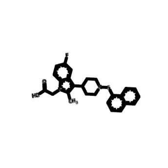 Cc1c(C2CCN(Sc3cccc4ccccc34)CC2)c2cc(F)ccc2n1CC(=O)O